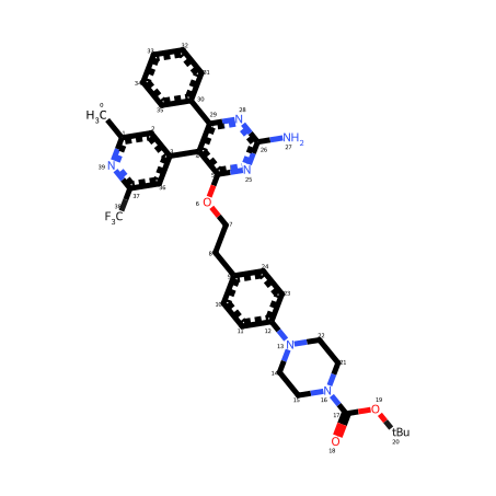 Cc1cc(-c2c(OCCc3ccc(N4CCN(C(=O)OC(C)(C)C)CC4)cc3)nc(N)nc2-c2ccccc2)cc(C(F)(F)F)n1